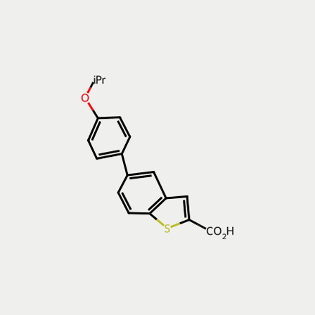 CC(C)Oc1ccc(-c2ccc3sc(C(=O)O)cc3c2)cc1